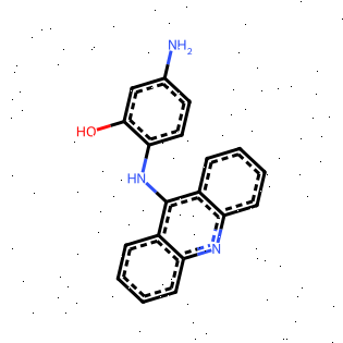 Nc1ccc(Nc2c3ccccc3nc3ccccc23)c(O)c1